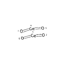 [O]=[Ge]=[O].[O]=[Ge]=[O]